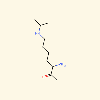 CC(=O)C(N)CCCCNC(C)C